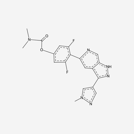 CN(C)C(=O)Oc1cc(F)c(-c2cc3c(-c4cnn(C)c4)n[nH]c3cn2)c(F)c1